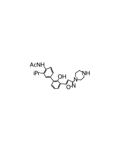 CC(=O)Nc1ccc(-c2cccc(-c3cc(N4CCNCC4)no3)c2O)cc1C(C)C